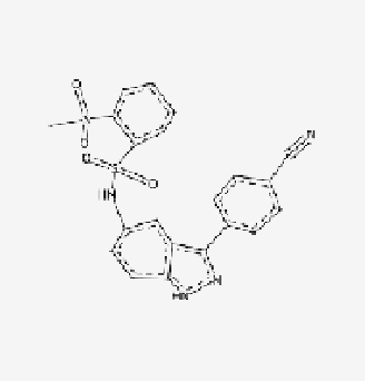 CS(=O)(=O)c1ccccc1S(=O)(=O)Nc1ccc2[nH]nc(-c3ccc(C#N)cc3)c2c1